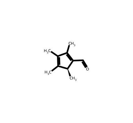 CC1=C(C)[C@H](C)C(C=O)=C1C